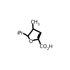 CC(C)C1OC(C(=O)O)=CC1C